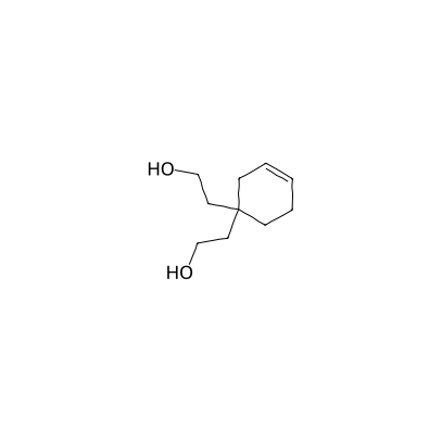 OCCC1(CCO)CC=CCC1